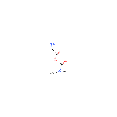 CCCCN(C)C(=O)OC(=O)CN